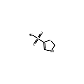 O=S(=O)(O)C1=CNCS1